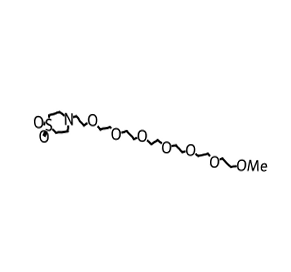 COCCOCCOCCOCCOCCOCCOCCN1CCS(=O)(=O)CC1